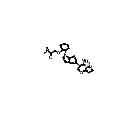 CN(C)C(=O)COc1ccccc1-n1ccc2cc(-c3cnc4ccnn4c3N)ccc21